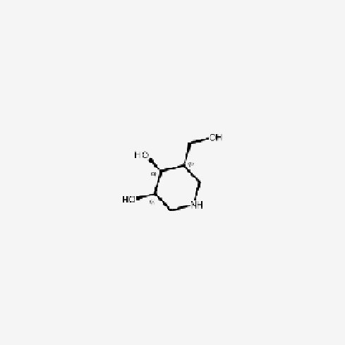 OC[C@H]1CNC[C@@H](O)[C@H]1O